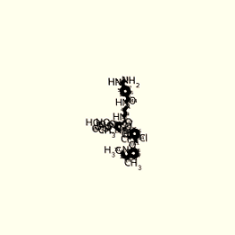 CS(=O)(=O)O.CS(=O)(=O)O.Cc1cc(C)c2cccc(OCc3c(Cl)ccc(S(=O)(=O)N4CCC[C@H]4C(=O)NCCCNC(=O)c4ccc(C(=N)N)cc4)c3Cl)c2n1